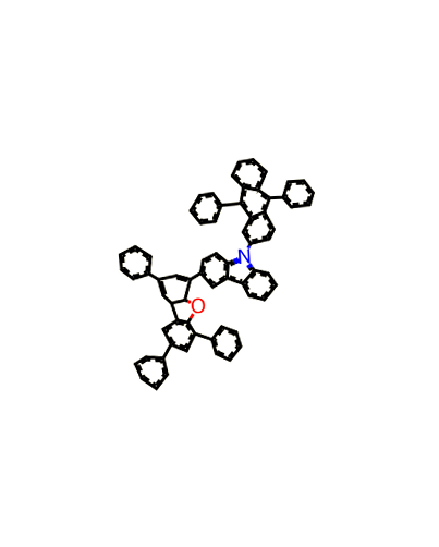 C1=C(c2ccccc2)C=C(c2ccc3c(c2)c2ccccc2n3-c2ccc3c(-c4ccccc4)c4ccccc4c(-c4ccccc4)c3c2)C2Oc3c(-c4ccccc4)cc(-c4ccccc4)cc3C12